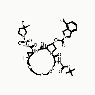 CC(C)(C)OC(=O)N[C@H]1CCCCCC=C=C[C@@H]2C[C@@]2(C(=O)NS(=O)(=O)N2CCC(F)(F)C2)NC(=O)[C@@H]2C[C@@H](OC(=O)N3Cc4cccc(Cl)c4C3)CN2C1=O